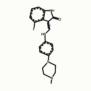 CN1CCN(c2ccc(N/C=C3/C(=O)Nc4cccc(F)c43)cc2)CC1